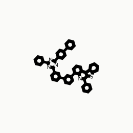 c1ccc(-c2ccc(-c3nc(-c4ccccc4)nc(-c4cccc(-c5cccc(-c6cccc7c6nc(-c6ccccc6)c6sc8ccccc8c67)c5)c4)n3)cc2)cc1